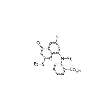 CCSc1cc(=O)c2cc(F)cc(N(CC)c3ccccc3C(=O)O)c2o1